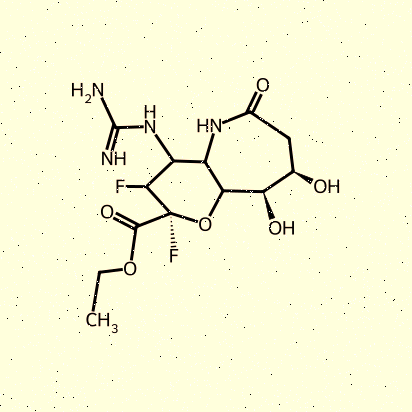 CCOC(=O)[C@]1(F)OC2C(NC(=O)C[C@@H](O)[C@H]2O)C(NC(=N)N)C1F